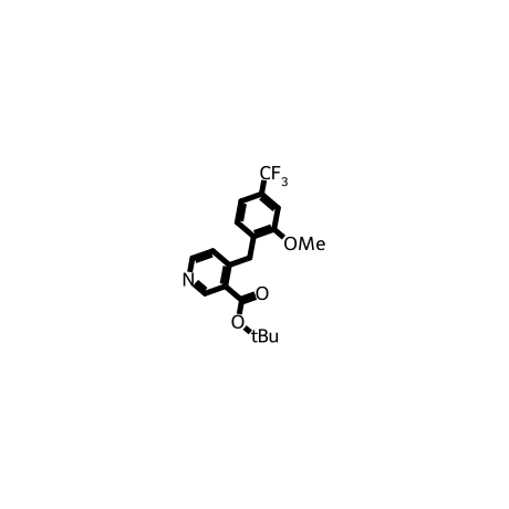 COc1cc(C(F)(F)F)ccc1Cc1ccncc1C(=O)OC(C)(C)C